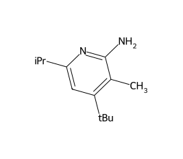 Cc1c(C(C)(C)C)cc(C(C)C)nc1N